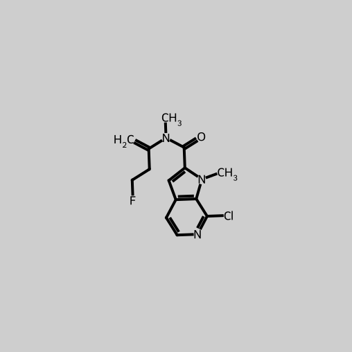 C=C(CCF)N(C)C(=O)c1cc2ccnc(Cl)c2n1C